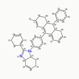 CC1=CC2=C(c3ccc(N4C(C5=CC=CCC5)=NC5C=CCCC54)cc3)C3=CC=CCC3C(c3ccccc3)C2CC1